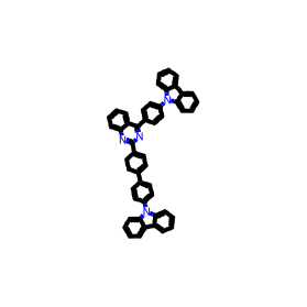 C1=C(c2ccc(-n3c4ccccc4c4ccccc43)cc2)CCC(c2nc(-c3ccc(-n4c5ccccc5c5ccccc54)cc3)c3ccccc3n2)=C1